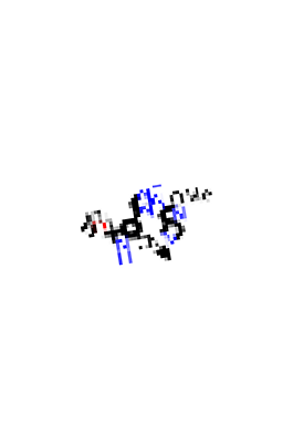 COc1nc2c(cc1Nc1nccc(-c3cc(C#N)c4c(c3)[C@@](C)(CO[Si](C)(C)C(C)(C)C)CN4)n1)CN(C1CC1)CC2